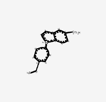 O=C(O)c1ccc2c(ccn2-c2ccc(CF)cc2)c1